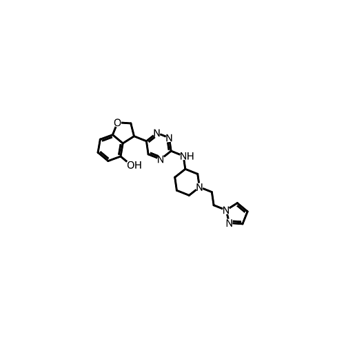 Oc1cccc2c1C(c1cnc(NC3CCCN(CCn4cccn4)C3)nn1)CO2